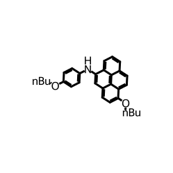 CCCCOc1ccc(Nc2cc3ccc(OCCCC)c4ccc5cccc2c5c34)cc1